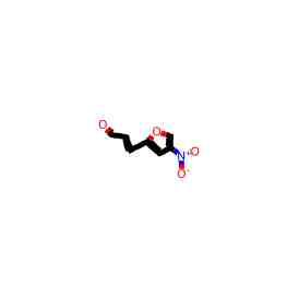 O=CC=Cc1cc([N+](=O)[O-])co1